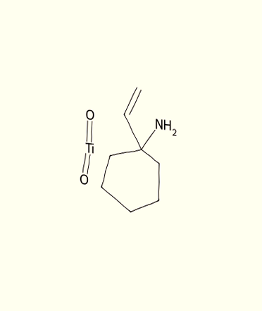 C=CC1(N)CCCCC1.[O]=[Ti]=[O]